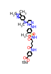 Cc1ccc(Nc2nccc(N(C)c3ccc4c(C)n(C)nc4c3)n2)cc1S(=O)(=O)NC(=O)CCCC(=O)Nc1ccc(C(=O)OC(C)(C)C)cc1